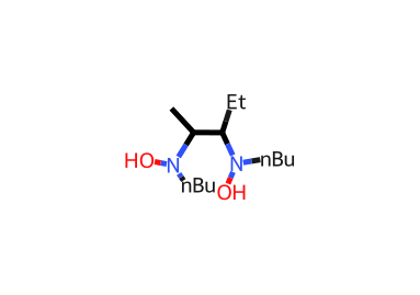 CCCCN(O)C(C)C(CC)N(O)CCCC